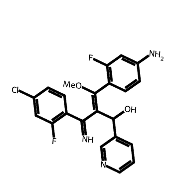 CO/C(=C(\C(=N)c1ccc(Cl)cc1F)C(O)c1cccnc1)c1ccc(N)cc1F